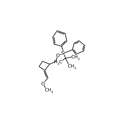 COC=C1CCC1CO[Si](c1ccccc1)(c1ccccc1)C(C)(C)C